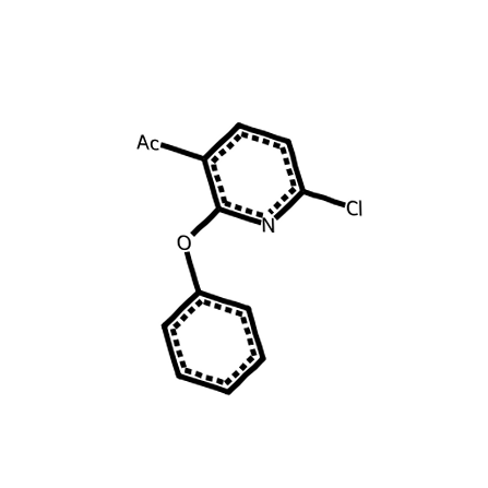 CC(=O)c1ccc(Cl)nc1Oc1ccccc1